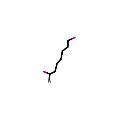 CCC(I)CCCCCCI